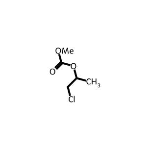 COC(=O)OC(C)CCl